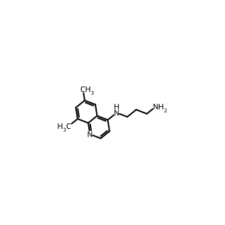 Cc1cc(C)c2nccc(NCCCN)c2c1